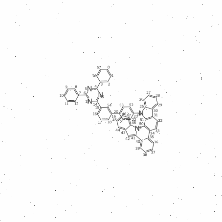 c1ccc(-c2nc(-c3ccccc3)nc(-c3cccc(-c4ccc(-n5c6ccccc6c6ccc7c8ccccc8c8cc9ccccc9n8c7c65)cc4)c3)n2)cc1